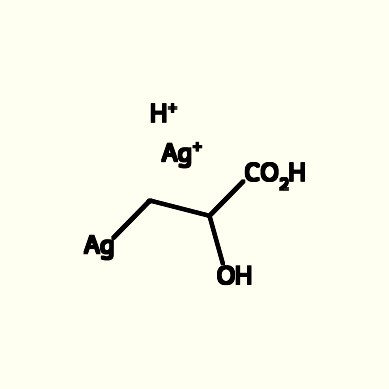 O=C(O)C(O)[CH2][Ag].[Ag+].[H+]